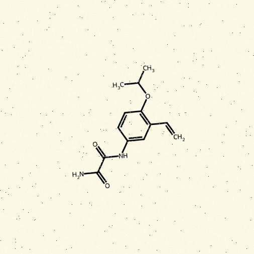 C=Cc1cc(NC(=O)C(N)=O)ccc1OC(C)C